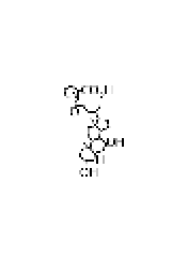 C[C@H](CCC(=O)N1CCC[C@@H]1C(=O)O)[C@H]1CCC2C3C(CC[C@@]21C)[C@@]1(C)CC[C@@H](O)C[C@H]1C[C@@H]3O